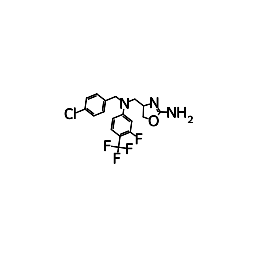 NC1=NC(CN(Cc2ccc(Cl)cc2)c2ccc(C(F)(F)F)c(F)c2)CO1